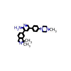 CN1CCN(c2ccc(-c3cnc(N)c(-c4ccc5c(c4)C(C)(C)N=C5)c3)cc2)CC1